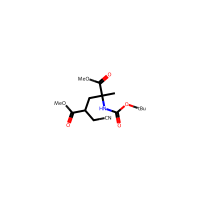 COC(=O)C(CC#N)CC(C)(NC(=O)OC(C)(C)C)C(=O)OC